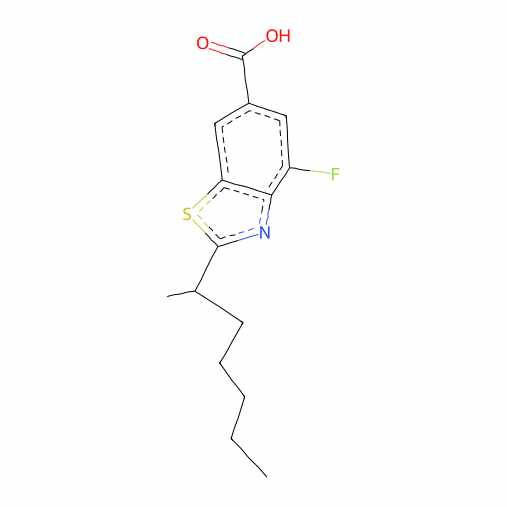 CCCCCC(C)c1nc2c(F)cc(C(=O)O)cc2s1